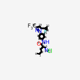 C/C=C\C=C(/C=NCl)C(=O)Nc1ccc(-n2nc(C(F)(F)F)cc2C2CC2)c(F)c1